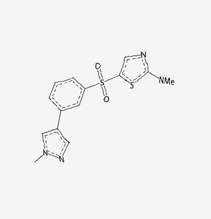 CNc1ncc(S(=O)(=O)c2cccc(-c3cnn(C)c3)c2)s1